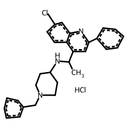 CC(NC1CCN(Cc2ccccc2)CC1)c1cc(-c2ccccc2)nc2cc(Cl)ccc12.Cl